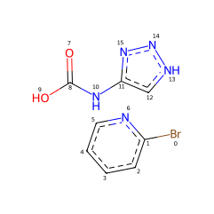 Brc1ccccn1.O=C(O)Nc1c[nH]nn1